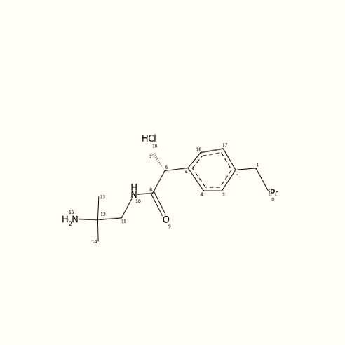 CC(C)Cc1ccc([C@@H](C)C(=O)NCC(C)(C)N)cc1.Cl